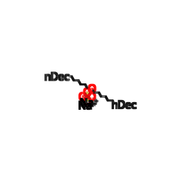 CCCCCCCCCCCCCCCCOCCCCCCCCCCCCCCCC.O=S(=O)([O-])[O-].[Na+].[Na+]